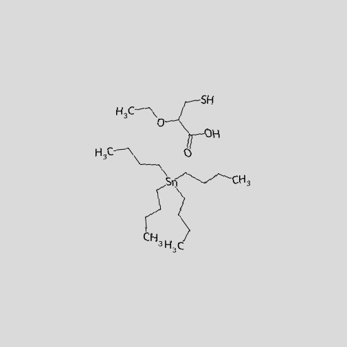 CCC[CH2][Sn]([CH2]CCC)([CH2]CCC)[CH2]CCC.CCOC(CS)C(=O)O